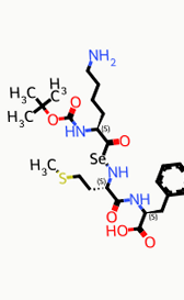 CSCC[C@H](N[Se]C(=O)[C@H](CCCCN)NC(=O)OC(C)(C)C)C(=O)N[C@@H](Cc1ccccc1)C(=O)O